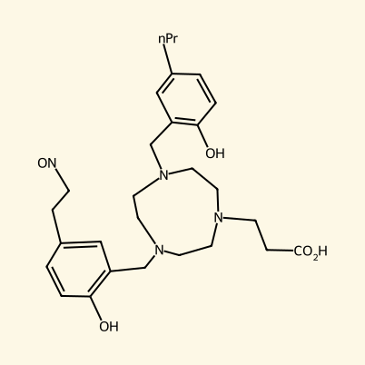 CCCc1ccc(O)c(CN2CCN(CCC(=O)O)CCN(Cc3cc(CCN=O)ccc3O)CC2)c1